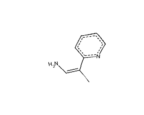 C/C(=C/N)c1ccccn1